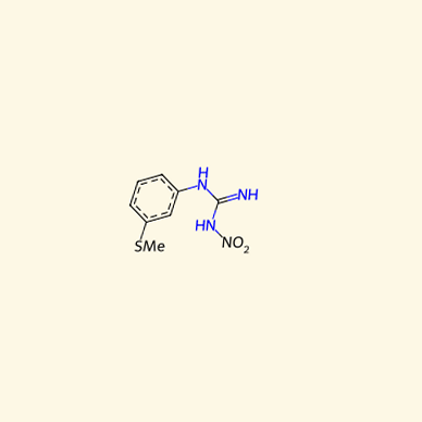 CSc1cccc(NC(=N)N[N+](=O)[O-])c1